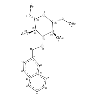 CCS[C@@H]1O[C@H](COC(C)=O)[C@@H](OC(C)=O)[C@H](OCc2ccc3ccccc3c2)[C@H]1OC(C)=O